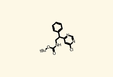 CC(C)(C)OC(=O)NCC(c1ccccc1)c1cc(Cl)ncn1